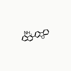 Nc1cccc2ccc(-c3ccc4c(c3)oc3ccccc34)cc12